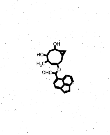 CC1/C=C(/OC(C=O)c2ccc3c4c(cccc24)C=C3)CC2=CC2C(O)CC1O